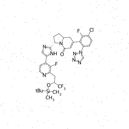 CC(C)(C)[Si](C)(C)OC(Cc1nccc(-c2cnc([C@@H]3CCC4CC(c5c(-n6cnnn6)ccc(Cl)c5F)=CC(=O)N43)[nH]2)c1F)C(F)(F)F